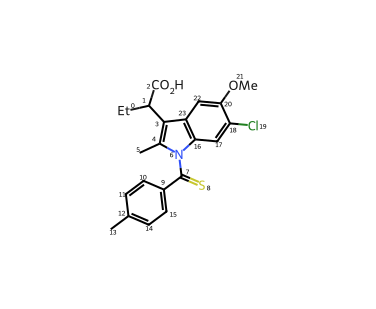 CCC(C(=O)O)c1c(C)n(C(=S)c2ccc(C)cc2)c2cc(Cl)c(OC)cc12